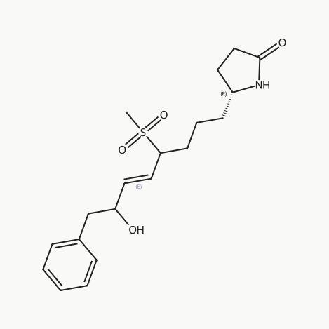 CS(=O)(=O)C(/C=C/C(O)Cc1ccccc1)CCC[C@@H]1CCC(=O)N1